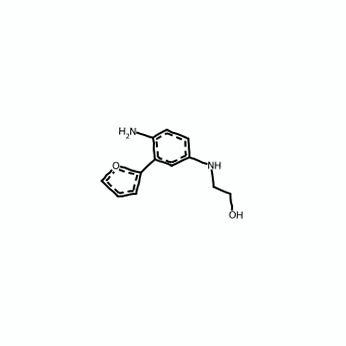 Nc1ccc(NCCO)cc1-c1ccco1